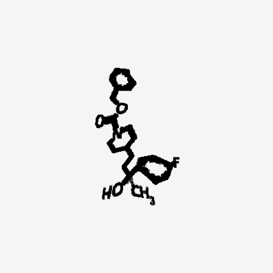 C[C@](O)(CCC1CCN(C(=O)OCc2ccccc2)CC1)c1ccc(F)cc1